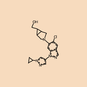 OCC1C2CN(c3cc4c(cnn4-c4cnn(C5CC5)c4)cc3Cl)CC12